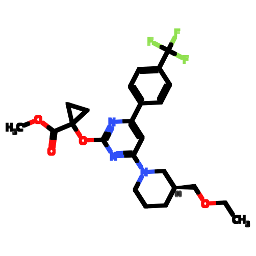 CCOC[C@H]1CCCN(c2cc(-c3ccc(C(F)(F)F)cc3)nc(OC3(C(=O)OC)CC3)n2)C1